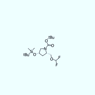 CC(C)(C)OC(=O)N1C[C@@H](O[Si](C)(C)C(C)(C)C)C[C@H]1COC(F)F